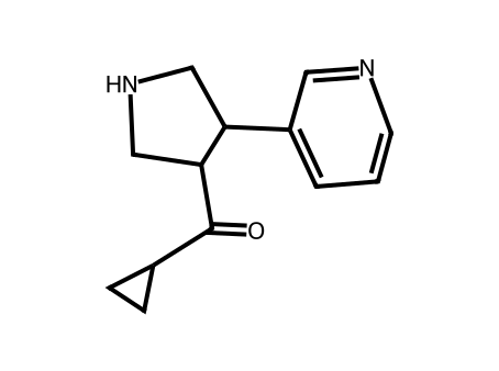 O=C(C1CC1)C1CNCC1c1cccnc1